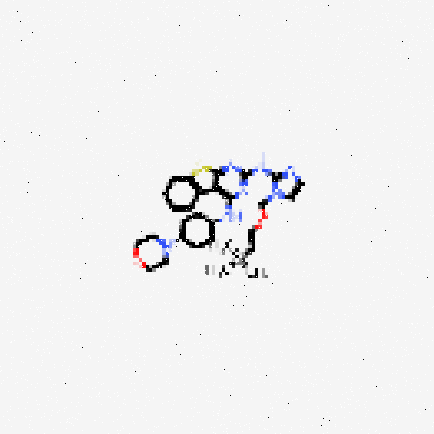 C[Si](C)(C)CCOCn1ccnc1Nc1nc(N[C@H]2CC[C@H](N3CCOCC3)CC2)c2c3c(sc2n1)CCCC3